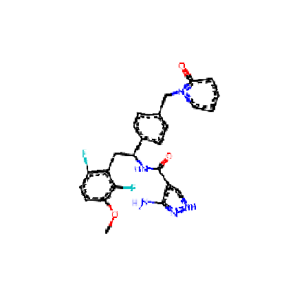 COc1ccc(F)c(CC(NC(=O)c2c[nH]nc2N)c2ccc(Cn3ccccc3=O)cc2)c1F